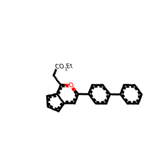 CCOC(=O)Cc1oc(-c2ccc(-c3ccccc3)cc2)cc2cccc1-2